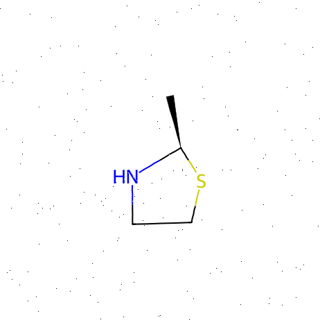 C[C@@H]1NCCS1